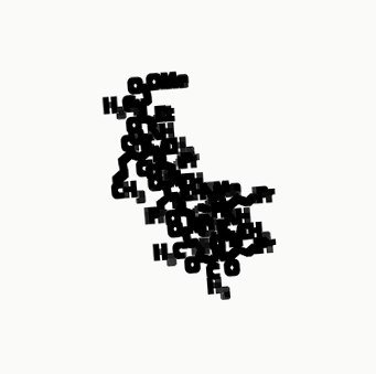 C/C=C/C[C@@H](C)[C@@H](C)[C@@H](C(=O)N[C@@H](CC)C(=O)N(C)CC(=O)OC)N(C)C(=O)[C@H](C(C)C)N(C)C(=O)[C@H](CC(C)C)N(C)C(=O)[C@H](CC(C)C)N(C)C(=O)[C@@H](C)NC(=O)[C@H](C)NC(=O)[C@H](CC(C)C)N(C)C(=O)[C@@H](NC(=O)[C@H](CC(C)C)NC)C(C)C